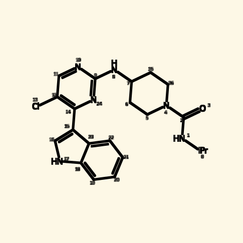 CC(C)NC(=O)N1CCC(Nc2ncc(Cl)c(-c3c[nH]c4ccccc34)n2)CC1